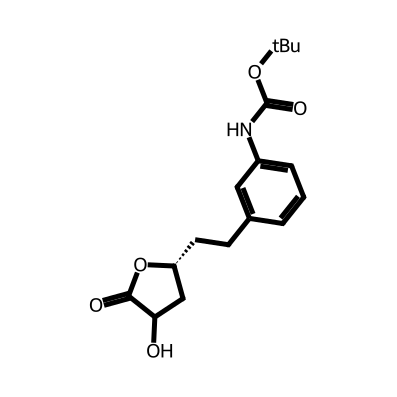 CC(C)(C)OC(=O)Nc1cccc(CC[C@@H]2CC(O)C(=O)O2)c1